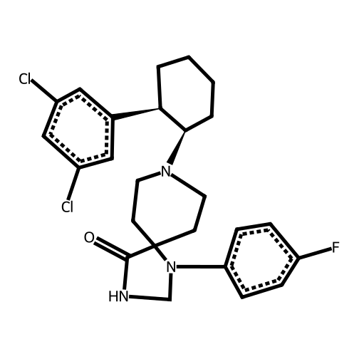 O=C1NCN(c2ccc(F)cc2)C12CCN([C@@H]1CCCC[C@@H]1c1cc(Cl)cc(Cl)c1)CC2